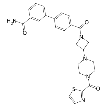 NC(=O)c1cccc(-c2ccc(C(=O)N3CC(N4CCN(C(=O)c5nccs5)CC4)C3)cc2)c1